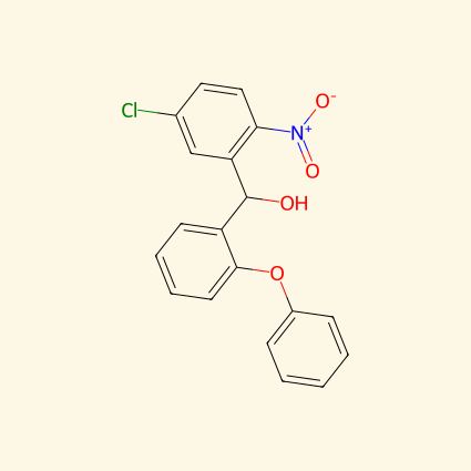 O=[N+]([O-])c1ccc(Cl)cc1C(O)c1ccccc1Oc1ccccc1